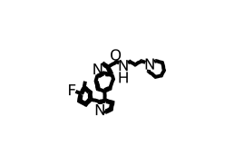 Cc1cc(-c2ncccc2C2=C/Cc3cc(ncc3C(=O)NCCCN3CCCCCC3)/C=C\2)ccc1F